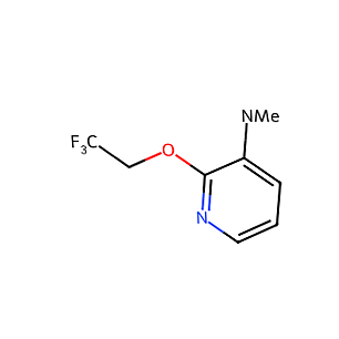 CNc1cccnc1OCC(F)(F)F